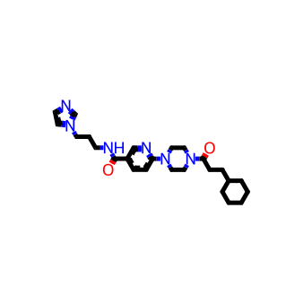 O=C(NCCCn1ccnc1)c1ccc(N2CCN(C(=O)CCC3CCCCC3)CC2)nc1